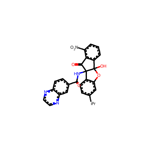 CC(C)c1ccc2c(c1)OC1(O)c3cccc([N+](=O)[O-])c3C(=O)C21NC(=O)c1ccc2nccnc2c1